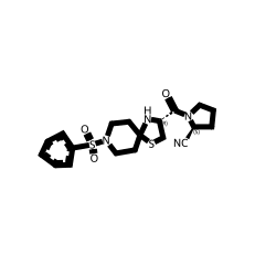 N#C[C@@H]1CCCN1C(=O)[C@@H]1CSC2(CCN(S(=O)(=O)c3ccccc3)CC2)N1